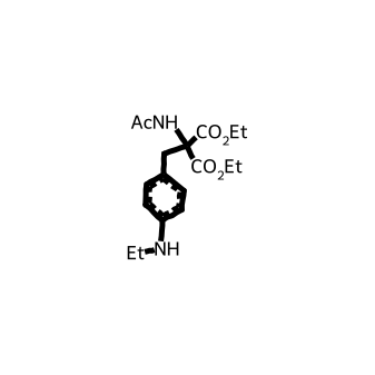 CCNc1ccc(CC(NC(C)=O)(C(=O)OCC)C(=O)OCC)cc1